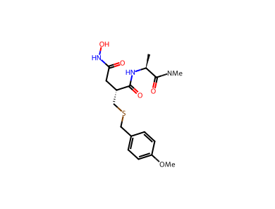 CNC(=O)[C@H](C)NC(=O)[C@H](CSCc1ccc(OC)cc1)CC(=O)NO